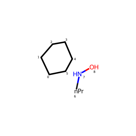 C1CCCCC1.CCCNO